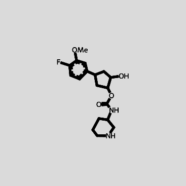 COc1cc(C2CC(O)C(OC(=O)NC3CCCNC3)C2)ccc1F